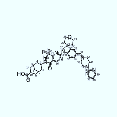 O=C(NC1CC2CC(C1)CC(C(=O)O)C2)c1cnc(N2CC3(CCOCC3)c3cc(CN4CCN(c5ncccn5)CC4)ccc32)nc1C(F)(F)F